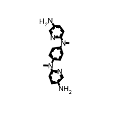 CN(c1ccc(N(C)c2ccc(N)cn2)cc1)c1ccc(N)cn1